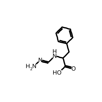 NN=CNC(Cc1ccccc1)C(=O)O